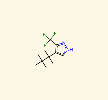 CC(C)(C)C(C)(C)c1c[nH]nc1C(F)(F)F